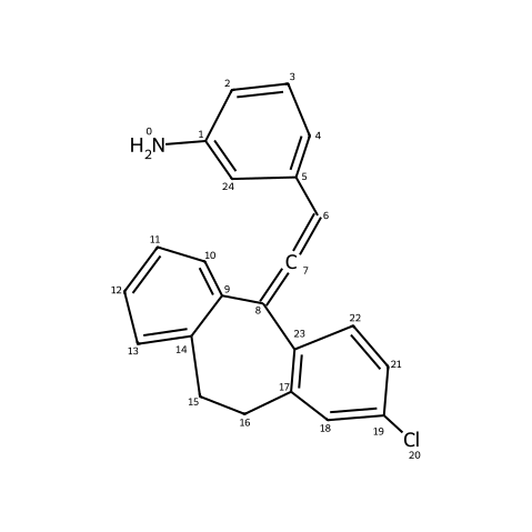 Nc1cccc(C=C=C2c3ccccc3CCc3cc(Cl)ccc32)c1